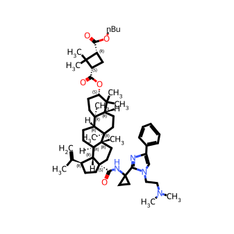 C=C(C)[C@@H]1CC[C@]2(C(=O)NC3(c4nc(-c5ccccc5)cn4CCN(C)C)CC3)CC[C@]3(C)[C@H](CC[C@@H]4[C@@]5(C)CC[C@H](OC(=O)[C@H]6C[C@@H](C(=O)OCCCC)C6(C)C)C(C)(C)[C@@H]5CC[C@]43C)[C@@H]12